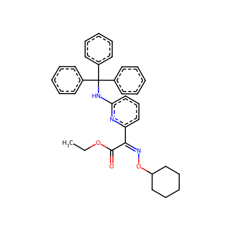 CCOC(=O)C(=NOC1CCCCC1)c1cccc(NC(c2ccccc2)(c2ccccc2)c2ccccc2)n1